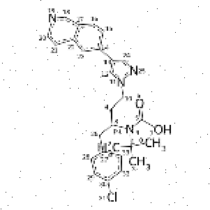 CC(C)(C)N(C(=O)O)[C@H](CCn1cc(-c2ccc3cnccc3c2)cn1)Cc1ccc(Cl)cc1